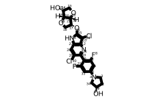 O[C@@H]1CCN(c2cc(F)c(-c3nc4c(Cl)c(O[C@@H]5CO[C@H]6[C@@H]5OC[C@H]6O)[nH]c4cc3Cl)c(F)c2)C1